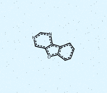 [c]1cccc2oc3cncnc3c12